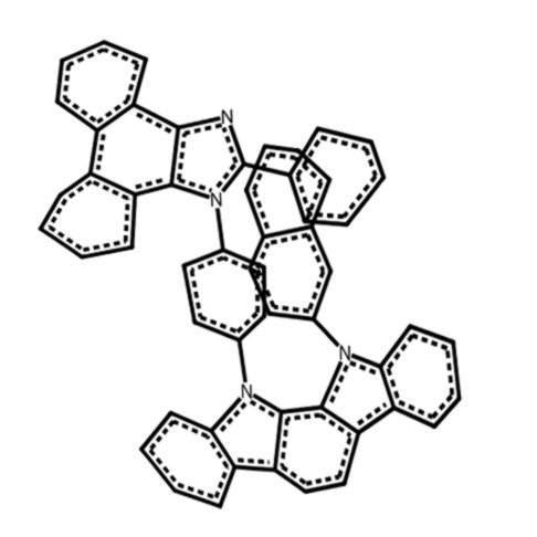 c1ccc(-c2nc3c4ccccc4c4ccccc4c3n2-c2ccc(-n3c4ccccc4c4ccc5c6ccccc6n(-c6ccc7ccccc7c6)c5c43)cc2)cc1